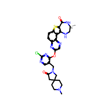 C[C@@H]1CNc2c(sc3ccc4nc(Oc5nc(Cl)ncc5CN5CC6(CCN(C)CC6)CC5=O)cnc4c23)C(=O)N1